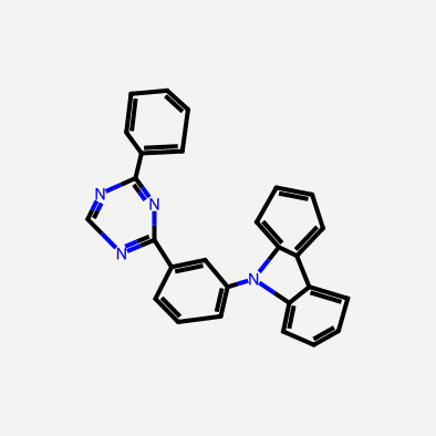 c1ccc(-c2ncnc(-c3cccc(-n4c5ccccc5c5ccccc54)c3)n2)cc1